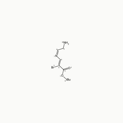 CC(C)(C)OC(=O)C(Br)=C/N=C\CN